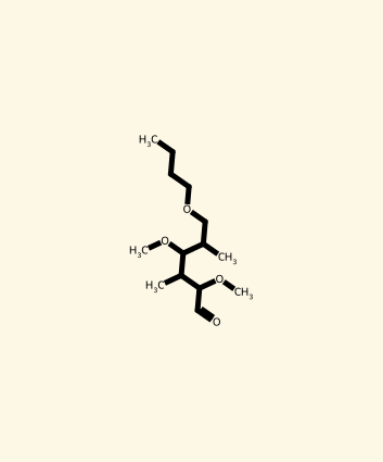 CCCCOCC(C)C(OC)C(C)C(C=O)OC